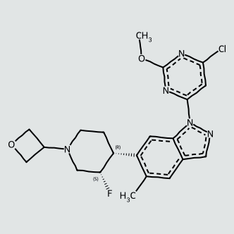 COc1nc(Cl)cc(-n2ncc3cc(C)c([C@H]4CCN(C5COC5)C[C@H]4F)cc32)n1